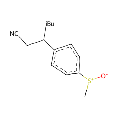 CCC(C)C(CC#N)c1ccc([S+](C)[O-])cc1